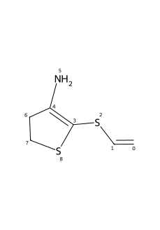 C=CSC1=C(N)CCS1